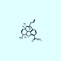 C=CCN1CC[C@]23c4c5ccc(C(N)=O)c4O[C@H]2[C@@H](O)C=C[C@H]3[C@H]1C5